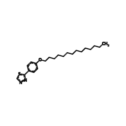 CCCCCCCCCCCCCCOc1ccc(-c2nncs2)cc1